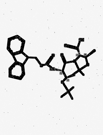 C[C@@H](OC(C)(C)C)[C@H](NC(=O)OCC1c2ccccc2-c2ccccc21)C(=O)N1[C@H](C(=O)O)[C@@H](C)OC1(C)C